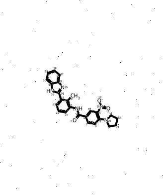 Cc1c(NC(=O)c2ccc(N3CCCC3)c([N+](=O)[O-])c2)cccc1-c1nc2ccccc2[nH]1